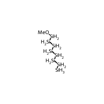 CO[SiH2][SiH2][SiH2][SiH2][SiH2][SiH2][SiH2][SiH3]